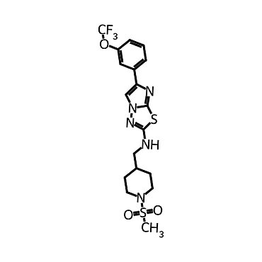 CS(=O)(=O)N1CCC(CNc2nn3cc(-c4cccc(OC(F)(F)F)c4)nc3s2)CC1